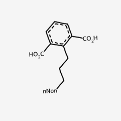 CCCCCCCCCCCCc1c(C(=O)O)cccc1C(=O)O